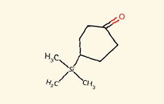 C[Si](C)(C)C1CCC(=O)CC1